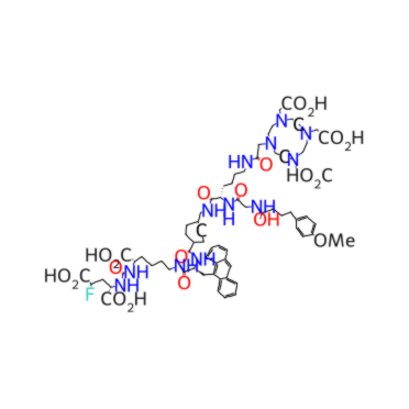 COc1ccc(CCCC(O)NCC(=O)N[C@@H](CCCCNC(=O)CN2CCN(CC(=O)O)CCN(CC(=O)O)CCN(CC(=O)O)CC2)C(=O)NCC2CCC(C(=O)N[C@@H](Cc3c4ccccc4cc4ccccc34)C(=O)NCCCC[C@H](NC(=O)N[C@@H](C[C@@H](F)C(=O)O)C(=O)O)C(=O)O)CC2)cc1